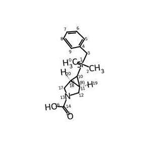 C[Si](C)(Cc1ccccc1)C1[C@H]2CN(C(=O)O)C[C@@H]12